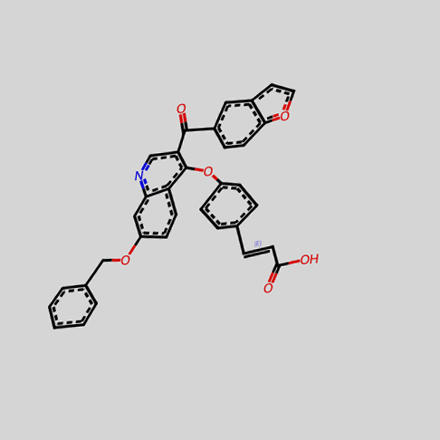 O=C(O)/C=C/c1ccc(Oc2c(C(=O)c3ccc4occc4c3)cnc3cc(OCc4ccccc4)ccc23)cc1